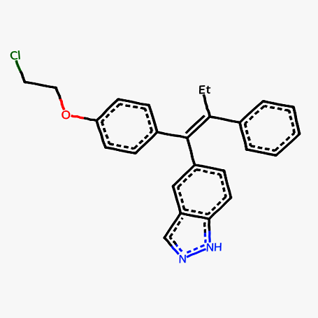 CCC(=C(c1ccc(OCCCl)cc1)c1ccc2[nH]ncc2c1)c1ccccc1